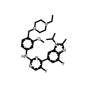 CCN1CCN(Cc2ccc(Nc3ncc(F)c(-c4cc(F)c5nc(C)n(C(C)C)c5c4)n3)cc2OC)CC1